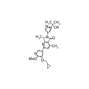 COc1ncc(-c2cc(C)c3c(n2)C(C)N(c2cnn(C(C)(C)C#N)c2)C3=O)cc1OCC1CC1